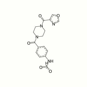 O=C(c1ccc(N[SH](=O)=O)cc1)N1CCN(C(=O)c2cocn2)CC1